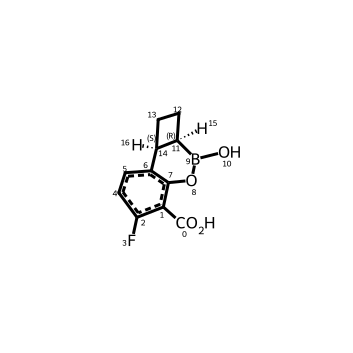 O=C(O)c1c(F)ccc2c1OB(O)[C@@H]1CC[C@H]21